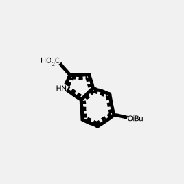 CC(C)COc1ccc2[nH]c(C(=O)O)cc2c1